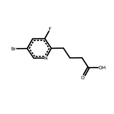 O=C(O)CCCc1ncc(Br)cc1F